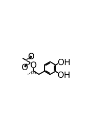 C[C@@H](Cc1ccc(O)c(O)c1)OS(C)(=O)=O